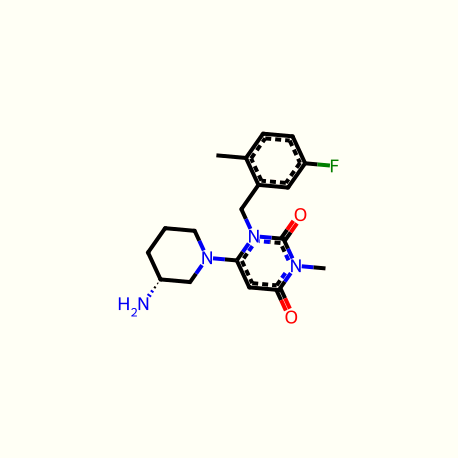 Cc1ccc(F)cc1Cn1c(N2CCC[C@@H](N)C2)cc(=O)n(C)c1=O